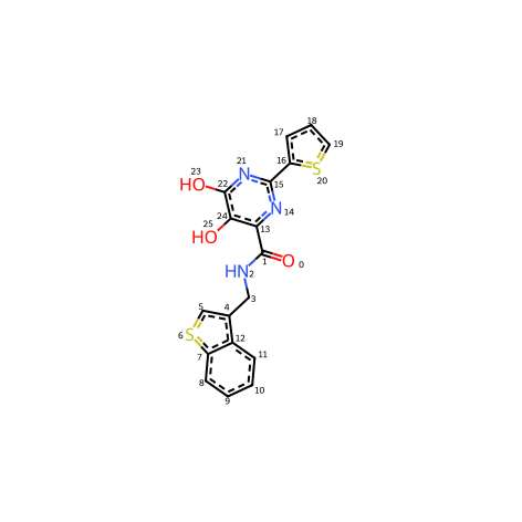 O=C(NCc1csc2ccccc12)c1nc(-c2cccs2)nc(O)c1O